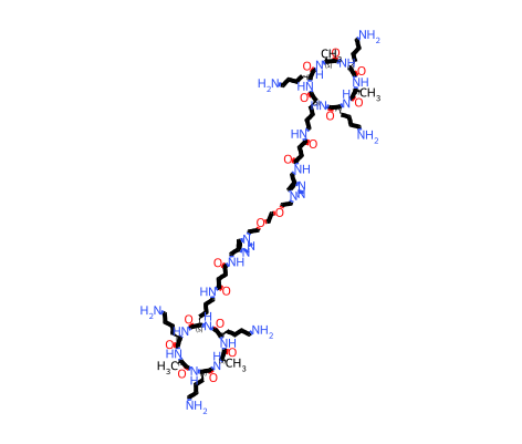 C[C@@H]1NC(=O)[C@@H](CCCCN)NC(=O)[C@H](C)NC(=O)[C@@H](CCCCN)NC(=O)[C@H](CCCCNC(=O)CCC(=O)NCc2cn(CCOCCOCCn3cc(CNC(=O)CCC(=O)NCCCC[C@@H]4NC(=O)[C@@H](CCCCN)NC(=O)[C@H](C)NC(=O)[C@@H](CCCCN)NC(=O)[C@H](C)NC(=O)[C@@H](CCCCN)NC4=O)nn3)nn2)NC(=O)[C@@H](CCCCN)NC1=O